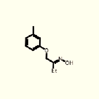 CCC(COc1cccc(C)c1)=NO